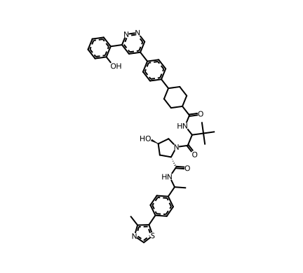 Cc1ncsc1-c1ccc(C(C)NC(=O)[C@@H]2C[C@@H](O)CN2C(=O)C(NC(=O)C2CCC(c3ccc(-c4cnnc(-c5ccccc5O)c4)cc3)CC2)C(C)(C)C)cc1